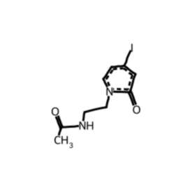 CC(=O)NCCn1ccc(I)cc1=O